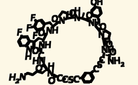 C[C@@H]1NC(=O)[C@@H]2CCCN2C(=O)[C@H](Cc2cc(F)c(F)c(F)c2)NC(=O)[C@H](Cc2c[nH]c3ccc(F)cc23)NC(=O)CNC(=O)[C@H](CCCCN)NC(=O)CCSCc2cccc(c2)CSC[C@@H](C(N)=O)NC(=O)[C@@H]2CCCN2C(=O)[C@H](Cc2ccc(O)cc2)NC1=O